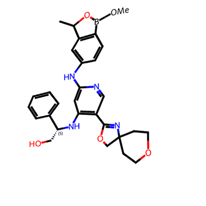 COB1OC(C)c2cc(Nc3cc(N[C@H](CO)c4ccccc4)c(C4=NC5(CCOCC5)CO4)cn3)ccc21